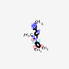 CCN1C(=O)N(c2c(F)c(OC)cc(OC)c2F)Cc2cnc(/C(C=N)=C/NC)cc21